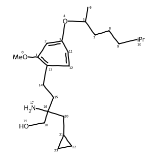 COc1cc(OC(C)CCCC(C)C)ccc1CCC(N)(CO)CC1CC1